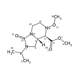 COC(=O)[C@H]1[C@@H]2CN(C(C)C)C(=O)N2CCN1OC